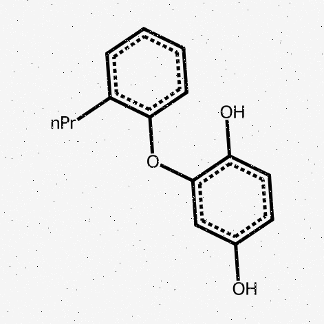 CCCc1ccccc1Oc1cc(O)ccc1O